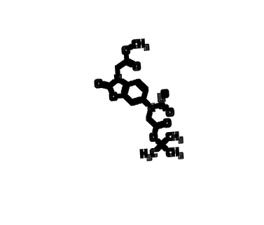 COC(=O)Cn1c(=O)oc2cc(N(CC(=O)OC(C)(C)C)[SH](=O)=O)ccc21